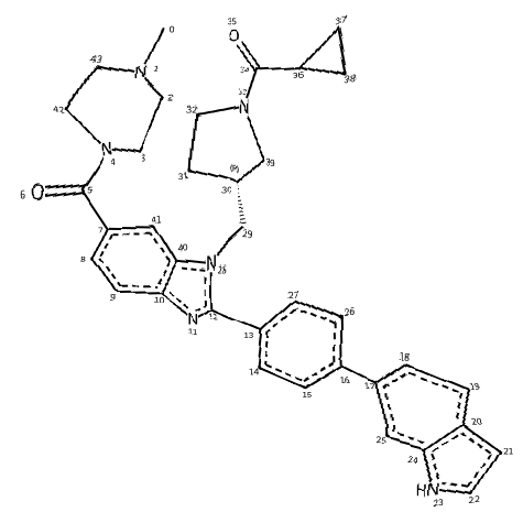 CN1CCN(C(=O)c2ccc3nc(-c4ccc(-c5ccc6cc[nH]c6c5)cc4)n(C[C@@H]4CCN(C(=O)C5CC5)C4)c3c2)CC1